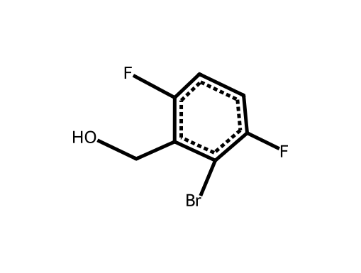 OCc1c(F)ccc(F)c1Br